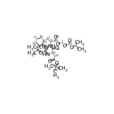 CC(C)OC(=O)OCOC(=O)C(Cc1ccccc1)NC(=O)C(CC(=O)OC(C)(C)C)NC(=O)OC(C)(C)C